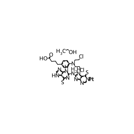 CCO.Nc1nc(=S)c2[nH]cnc2[nH]1.O=C(O)CCCc1ccc(N(CCCl)CCCl)cc1.S=c1[nH]cnc2nc[nH]c12.[Pt]